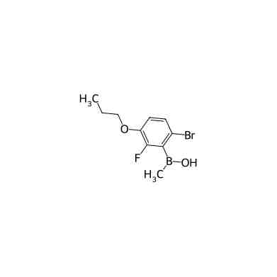 CCCOc1ccc(Br)c(B(C)O)c1F